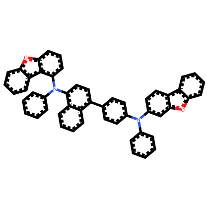 c1ccc(N(c2ccc(-c3ccc(N(c4ccccc4)c4cccc5oc6ccccc6c45)c4ccccc34)cc2)c2ccc3c(c2)oc2ccccc23)cc1